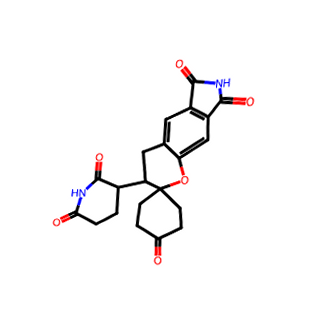 O=C1CCC2(CC1)Oc1cc3c(cc1CC2C1CCC(=O)NC1=O)C(=O)NC3=O